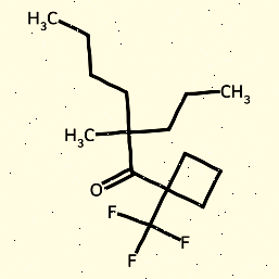 CCCCC(C)(CCC)C(=O)C1(C(F)(F)F)CCC1